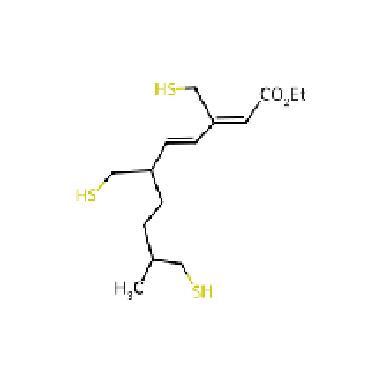 CCOC(=O)C=C(C=CC(CS)CCC(C)CS)CS